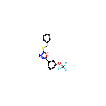 FC(F)(F)Oc1cccc(-c2nnc(SCc3ccccc3)o2)c1